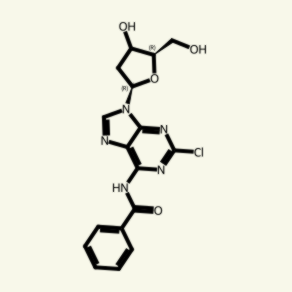 O=C(Nc1nc(Cl)nc2c1ncn2[C@H]1CC(O)[C@@H](CO)O1)c1ccccc1